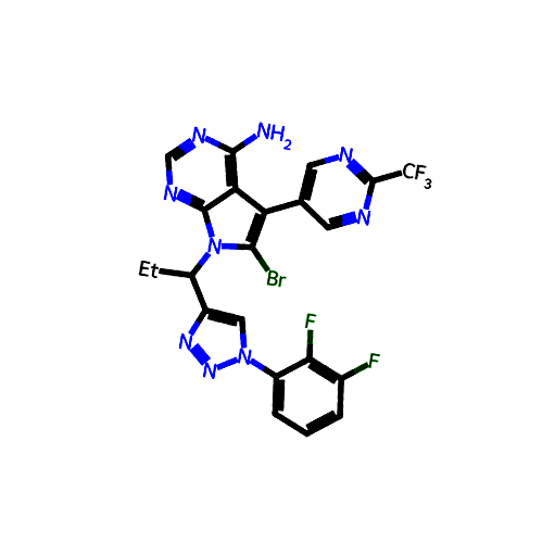 CCC(c1cn(-c2cccc(F)c2F)nn1)n1c(Br)c(-c2cnc(C(F)(F)F)nc2)c2c(N)ncnc21